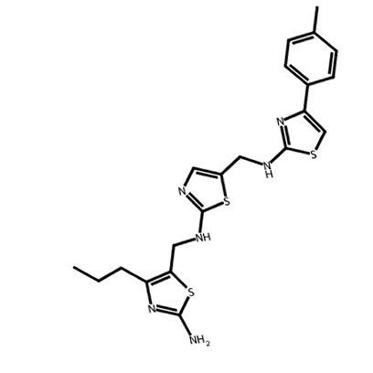 CCCc1nc(N)sc1CNc1ncc(CNc2nc(-c3ccc(C)cc3)cs2)s1